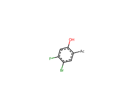 CC(=O)c1cc(Br)c(F)cc1O